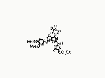 CCOC(=O)c1sc(Nc2nc(N3CCNC(=O)C3)c3c(n2)N(Cc2ccc(OC)c(OC)c2)CC3)nc1C